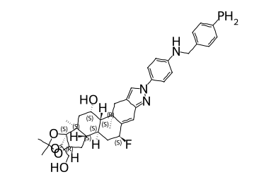 CC1(C)O[C@@H]2C[C@H]3[C@@H]4C[C@H](F)C5=Cc6nn(-c7ccc(NCc8ccc(P)cc8)cc7)cc6C[C@]5(C)[C@H]4[C@@H](O)C[C@]3(C)[C@]2(C(=O)CO)O1